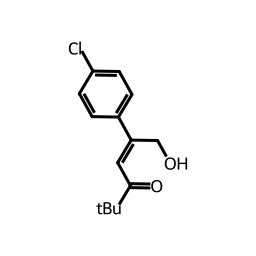 CC(C)(C)C(=O)C=C(CO)c1ccc(Cl)cc1